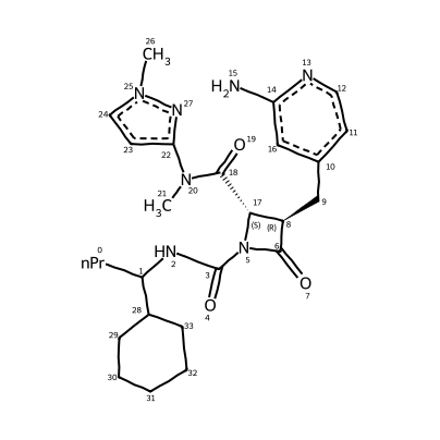 CCCC(NC(=O)N1C(=O)[C@H](Cc2ccnc(N)c2)[C@H]1C(=O)N(C)c1ccn(C)n1)C1CCCCC1